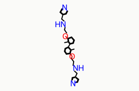 Cc1c(OCCCNCCc2ccncc2)cccc1-c1cccc(OCCCNCCc2ccncc2)c1C